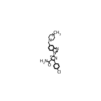 CN1CCN(Cc2ccc3c(c2)ncn3-c2nc(-c3ccc(Cl)cc3)c(C(N)=O)s2)CC1